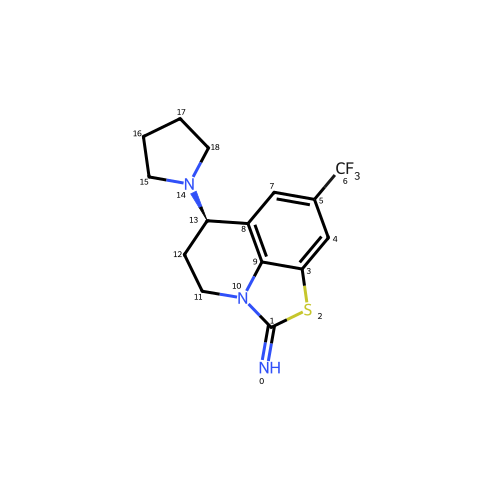 N=c1sc2cc(C(F)(F)F)cc3c2n1CC[C@H]3N1CCCC1